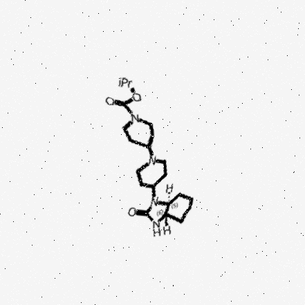 CC(C)OC(=O)N1CCC(N2CCC(N3C(=O)N[C@H]4CCCC[C@@H]43)CC2)CC1